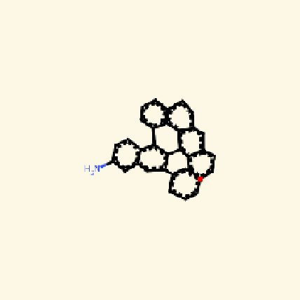 Nc1ccc2c(-c3ccccc3)c(-c3c4ccccc4cc4ccccc34)c(-c3ccccc3)cc2c1